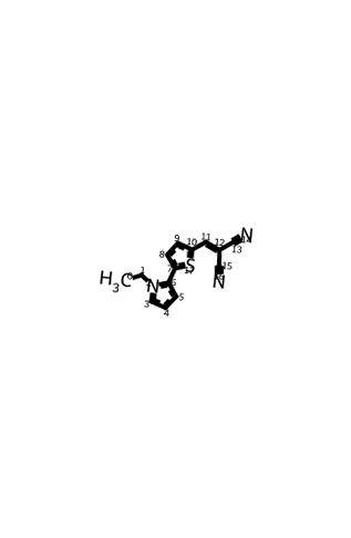 CCn1cccc1-c1ccc(C=C(C#N)C#N)s1